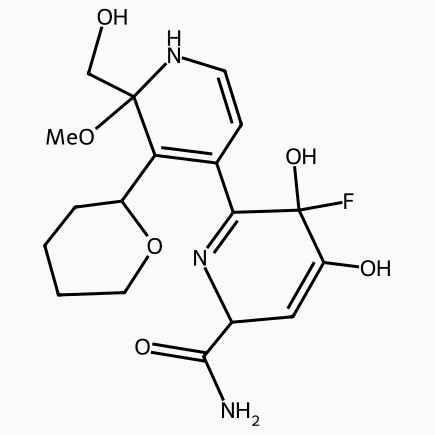 COC1(CO)NC=CC(C2=NC(C(N)=O)C=C(O)C2(O)F)=C1C1CCCCO1